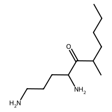 CCCCC(C)C(=O)C(N)CCCN